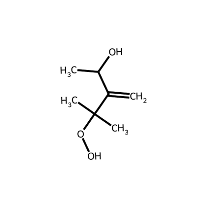 C=C(C(C)O)C(C)(C)OO